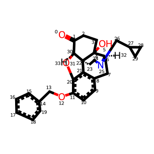 O=C1CCC2(O)[C@H]3Cc4ccc(OCc5ccccc5)c5c4[C@@]2(CCN3CC2CC2)[C@H]1O5